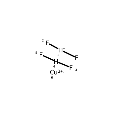 F[H-]F.F[H-]F.[Cu+2]